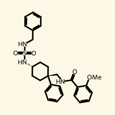 COc1ccccc1C(=O)NC[C@]1(c2ccccc2)CC[C@@H](NS(=O)(=O)NCc2ccccc2)CC1